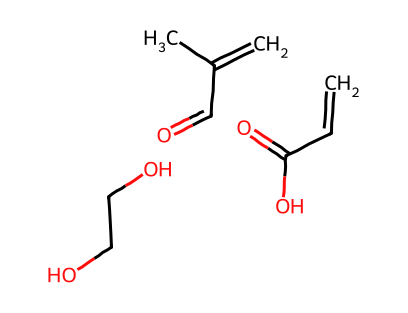 C=C(C)C=O.C=CC(=O)O.OCCO